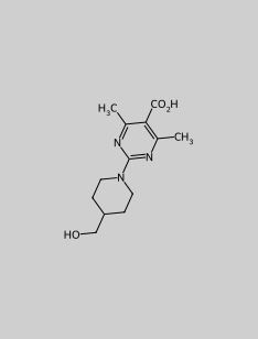 Cc1nc(N2CCC(CO)CC2)nc(C)c1C(=O)O